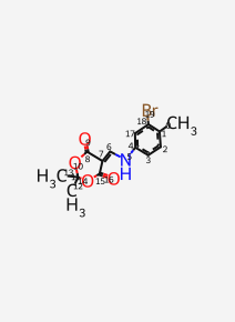 Cc1ccc(NC=C2C(=O)OC(C)(C)OC2=O)cc1Br